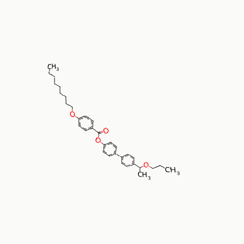 CCCCCCCCCOc1ccc(C(=O)Oc2ccc(-c3ccc(C(C)OCCC)cc3)cc2)cc1